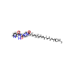 CCC=CCC=CCC=CCC=CCC=CCCCC(=O)N1CCN(C(=O)CNC(=O)c2cccnc2)CC1